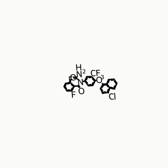 NC(=O)N(C(=O)c1c(F)cccc1F)c1ccc(Oc2ccc(Cl)c3ccccc23)c(C(F)(F)F)c1